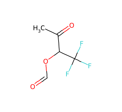 CC(=O)C(OC=O)C(F)(F)F